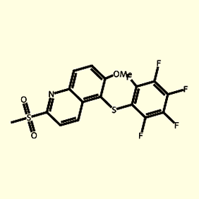 COc1ccc2nc(S(C)(=O)=O)ccc2c1Sc1c(F)c(F)c(F)c(F)c1F